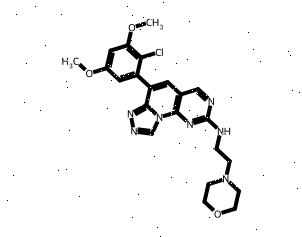 COc1cc(OC)c(Cl)c(-c2cc3cnc(NCCN4CCOCC4)nc3n3cnnc23)c1